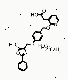 Cc1oc(-c2ccccc2)nc1COc1ccc(COc2ncccc2CC(=O)O)cc1.O.O.[CaH2]